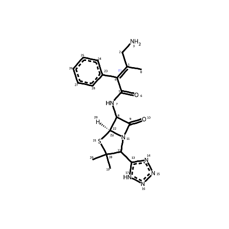 C/C(CN)=C(\C(=O)NC1C(=O)N2C(c3nnn[nH]3)C(C)(C)S[C@@H]12)c1ccccc1